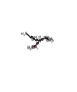 CCCCCCCc1ccc(NC(=O)C=Cc2ccc(-c3[nH]c(-c4ccc(C5=NOC(C(=O)OC(C)(C)C)C5)cc4)nc3-c3ccc(C=CC(=O)OC(C)(C)C)cc3)cc2)cc1